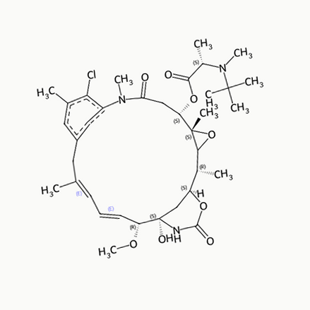 CO[C@@H]1/C=C/C=C(\C)Cc2cc(C)c(Cl)c(c2)N(C)C(=O)C[C@H](OC(=O)[C@H](C)N(C)C(C)(C)C)[C@]2(C)OC2[C@H](C)[C@@H]2C[C@@]1(O)NC(=O)O2